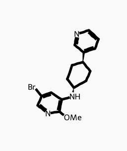 COc1ncc(Br)cc1N[C@H]1CC[C@H](c2cccnc2)CC1